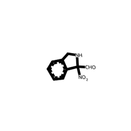 O=CC1([N+](=O)[O-])NCc2ccccc21